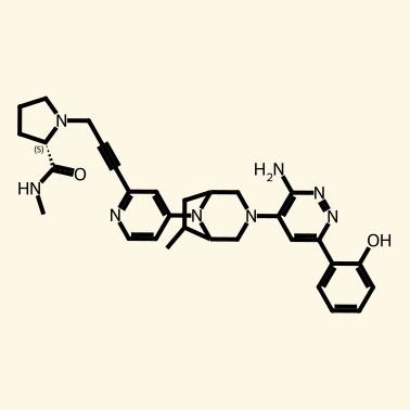 CNC(=O)[C@@H]1CCCN1CC#Cc1cc(N2C3CC(C)C2CN(c2cc(-c4ccccc4O)nnc2N)C3)ccn1